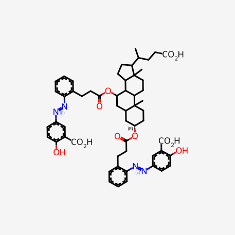 CC(CCC(=O)O)C1CCC2C3C(OC(=O)CCc4ccccc4/N=N/c4ccc(O)c(C(=O)O)c4)CC4C[C@H](OC(=O)CCc5ccccc5/N=N/c5ccc(O)c(C(=O)O)c5)CCC4(C)C3CCC12C